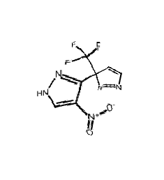 O=[N+]([O-])c1c[nH]nc1C1(C(F)(F)F)C=CN=N1